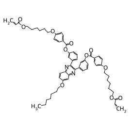 C=CC(=O)OCCCCCCOc1ccc(C(=O)Oc2cccc(-c3nc4ccc(OCCCCCCC)cc4nc3-c3cccc(OC(=O)c4ccc(OCCCCCCOC(=O)C=C)cc4)c3)c2)cc1